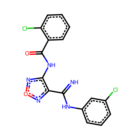 N=C(Nc1cccc(Cl)c1)c1nonc1NC(=O)c1ccccc1Cl